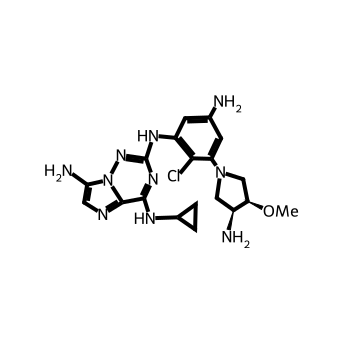 CO[C@@H]1CN(c2cc(N)cc(Nc3nc(NC4CC4)c4ncc(N)n4n3)c2Cl)C[C@@H]1N